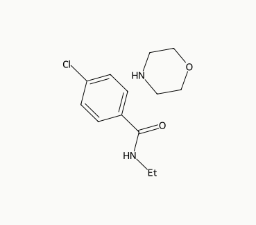 C1COCCN1.CCNC(=O)c1ccc(Cl)cc1